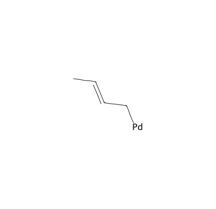 CC=C[CH2][Pd]